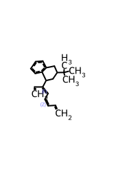 C=C/C=C\C=C(/C=C)C1CC(C(C)(C)C)Cc2ccccc21